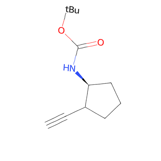 C#CC1CCC[C@@H]1NC(=O)OC(C)(C)C